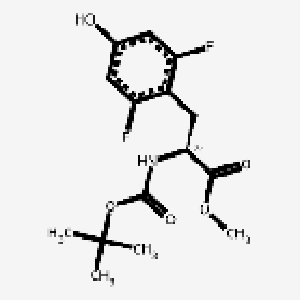 COC(=O)[C@H](Cc1c(F)cc(O)cc1F)NC(=O)OC(C)(C)C